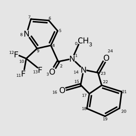 CN(C(=O)c1cccnc1C(F)(F)F)N1C(=O)c2ccccc2C1=O